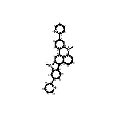 CN1c2cc(-c3ccccn3)ccc2-c2cc3c(c4cccc1c24)c1ccc(-c2ccccn2)cc1n3C